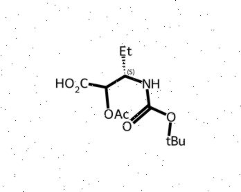 CC[C@H](NC(=O)OC(C)(C)C)C(OC(C)=O)C(=O)O